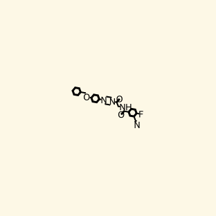 N#Cc1cc(C(=O)NCC(=O)N2CCN(c3ccc(OCc4ccccc4)cc3)CC2)ccc1F